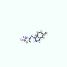 O=C1CCC(Cn2ncc3cc(Br)ccc32)N1